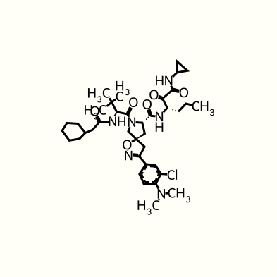 CCC[C@H](NC(=O)[C@@H]1C[C@]2(CC(c3ccc(N(C)C)c(Cl)c3)=NO2)CN1C(=O)[C@@H](NC(=O)CC1CCCCC1)C(C)(C)C)C(=O)C(=O)NC1CC1